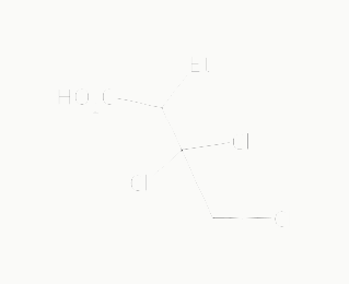 CCC(C(=O)O)C(Cl)(Cl)CCl